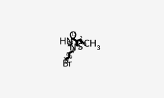 Cc1cc2c(s1)N(CCCCBr)CNC2=O